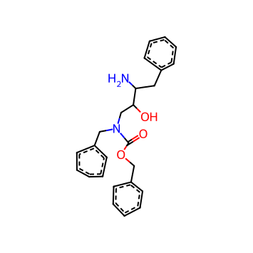 NC(Cc1ccccc1)C(O)CN(Cc1ccccc1)C(=O)OCc1ccccc1